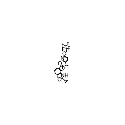 CC1=C(NC(=O)C2CC2)C2=C(C=CC1)C(=O)N(C(C)c1ccc(OCC(F)(F)C(F)F)nc1)C2